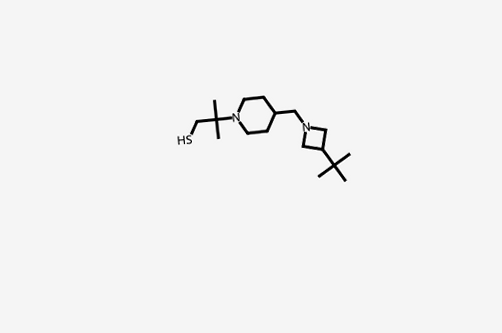 CC(C)(C)C1CN(CC2CCN(C(C)(C)CS)CC2)C1